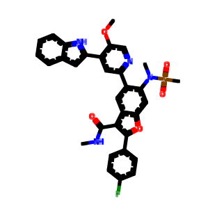 CNC(=O)c1c(-c2ccc(F)cc2)oc2cc(N(C)S(C)(=O)=O)c(-c3cc(-c4cc5ccccc5[nH]4)c(OC)cn3)cc12